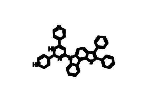 C1=CC(C2N=C(n3c4ccccc4c4c5sc(-c6ccccc6)c(-c6ccccc6)c5ccc43)C=C(c3ccncc3)N2)=CCN1